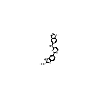 O=Cc1nc2ccc(-c3nccc(Nc4ccc5[nH]ncc5c4)n3)cc2[nH]1